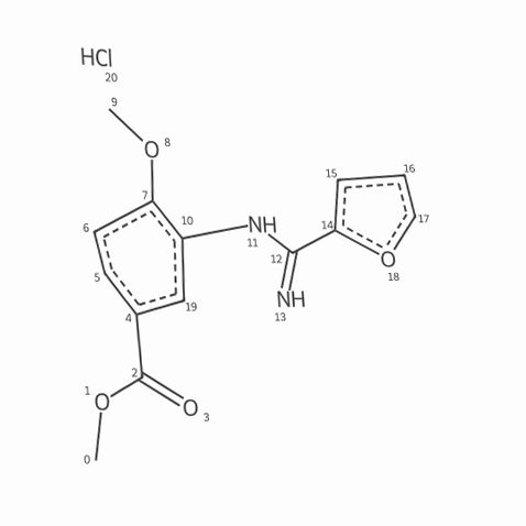 COC(=O)c1ccc(OC)c(NC(=N)c2ccco2)c1.Cl